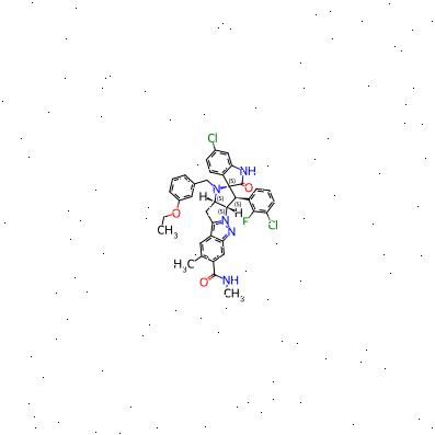 CCOc1cccc(CN2[C@H]3Cc4c5cc(C)c(C(=O)NC)cc5nn4[C@H]3[C@H](c3cccc(Cl)c3F)[C@]23C(=O)Nc2cc(Cl)ccc23)c1